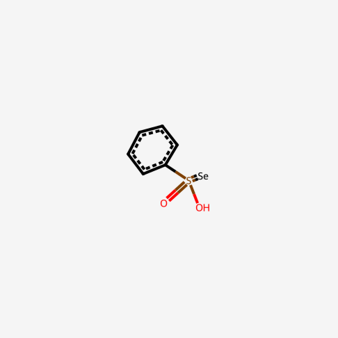 O=S(O)(=[Se])c1ccccc1